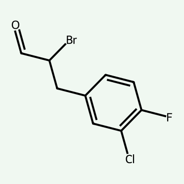 O=CC(Br)Cc1ccc(F)c(Cl)c1